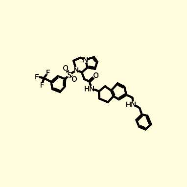 O=C(CC1c2cccn2CCN1S(=O)(=O)c1cccc(C(F)(F)F)c1)NC1CCc2cc(CNCc3ccccc3)ccc2C1